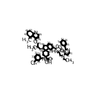 CCN(CCNC(=O)c1ccc2c(c1)C1(CCC(Nc3cccc(Cl)c3)(C(=O)O)CC1)[C@@H](C[C@@H](C)COc1ccnc3c1[C@H](C)CCC3)C2)c1ccnc(-c2ccccc2OC)n1